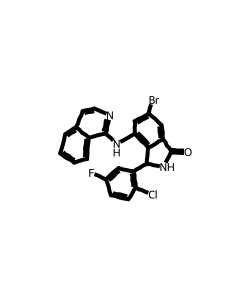 O=C1NC(c2cc(F)ccc2Cl)c2c(Nc3nccc4ccccc34)cc(Br)cc21